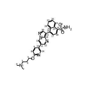 CN(C)CCCOc1ccc(-c2cnc3c(-c4ccc(S(N)(=O)=O)c5ccccc45)cnn3c2)cn1